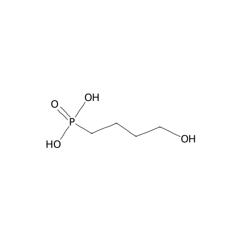 O=P(O)(O)CCCCO